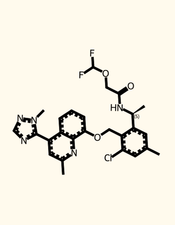 Cc1cc(Cl)c(COc2cccc3c(-c4ncnn4C)cc(C)nc23)c([C@H](C)NC(=O)COC(F)F)c1